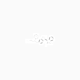 O=C1Nc2ccccc2C1=C1OCc2cc(CN(CCO)C3CCCCC3)ccc21